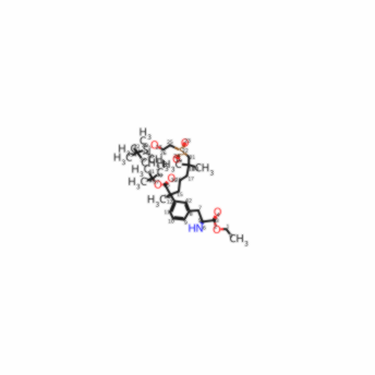 CCOC(=O)C(=N)Cc1cccc(C(C)(CCCC(C)(C)CS(=O)(=O)CCO[Si](C)(C)C(C)(C)C)C(=O)OC(C)(C)C)c1